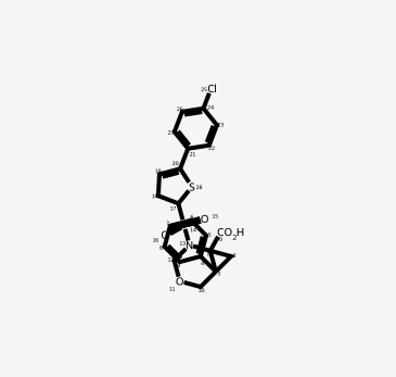 O=C(O)C12CC1(c1ccccc1)COCN2S(=O)(=O)C1CC=C(c2ccc(Cl)cc2)S1